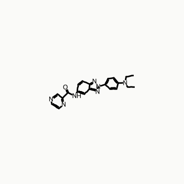 CCN(CC)c1ccc(-n2nc3ccc(NC(=O)c4cnccn4)cc3n2)cc1